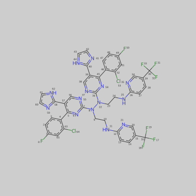 Fc1ccc(-c2nc(N(CCNc3ccc(C(F)(F)F)cn3)N(CCNc3ccc(C(F)(F)F)cn3)c3ncc(-c4ncc[nH]4)c(-c4ccc(F)cc4Cl)n3)ncc2-c2ncc[nH]2)c(Cl)c1